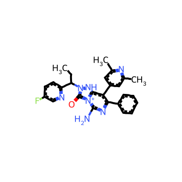 CCC(c1ccc(F)cn1)n1[nH]c2c(-c3cc(C)nc(C)c3)c(-c3ccccc3)nc(N)[n+]2c1=O